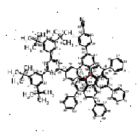 CC(C)(C)c1cc(-c2nc(-c3cc(C(C)(C)C)cc(C(C)(C)C)c3)nc(-c3ccc(-n4c5ccc(-c6ccccc6)cc5c5cc(-c6ccccc6)ccc54)c(-c4cc(-c5ccc(C#N)cc5)ccc4-n4c5ccc(-c6ccccc6)cc5c5cc(-c6ccccc6)ccc54)c3)n2)cc(C(C)(C)C)c1